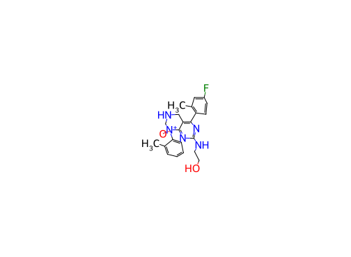 Cc1cc(F)ccc1-c1nc(NCCO)nc2c1CNC[N+]2([O-])c1ccccc1C